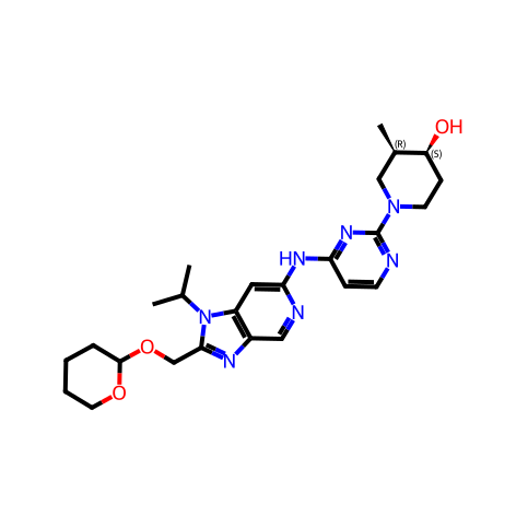 CC(C)n1c(COC2CCCCO2)nc2cnc(Nc3ccnc(N4CC[C@H](O)[C@H](C)C4)n3)cc21